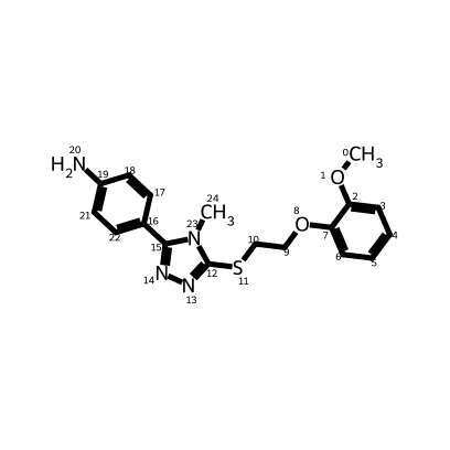 COc1ccccc1OCCSc1nnc(-c2ccc(N)cc2)n1C